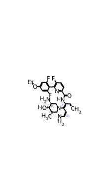 C=C/C(NC(=O)c1ccc(F)c(-c2c(F)cc(OCC)cc2F)n1)=C(\C=C/N)N1C[C@@H](N)[C@H](O)[C@@H](C)C1